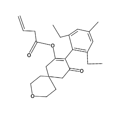 C=CCC(=O)OC1=C(c2c(CC)cc(C)cc2CC)C(=O)CC2(CCOCC2)C1